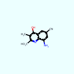 Cc1c(C(=O)O)nc2c(N)cc(C#N)cc2c1O